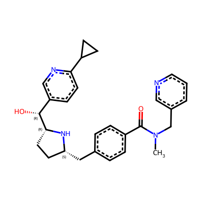 CN(Cc1cccnc1)C(=O)c1ccc(C[C@@H]2CC[C@H]([C@H](O)c3ccc(C4CC4)nc3)N2)cc1